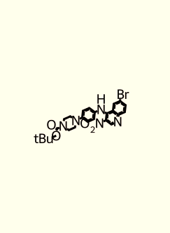 CC(C)(C)OC(=O)N1CCN(c2ccc(Nc3c([N+](=O)[O-])cnc4ccc(Br)cc34)cc2)CC1